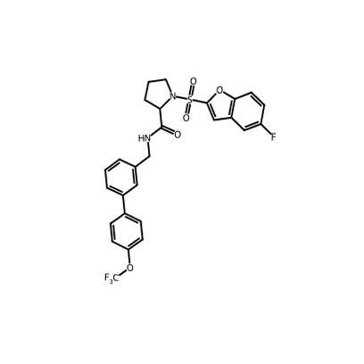 O=C(NCc1cccc(-c2ccc(OC(F)(F)F)cc2)c1)C1CCCN1S(=O)(=O)c1cc2cc(F)ccc2o1